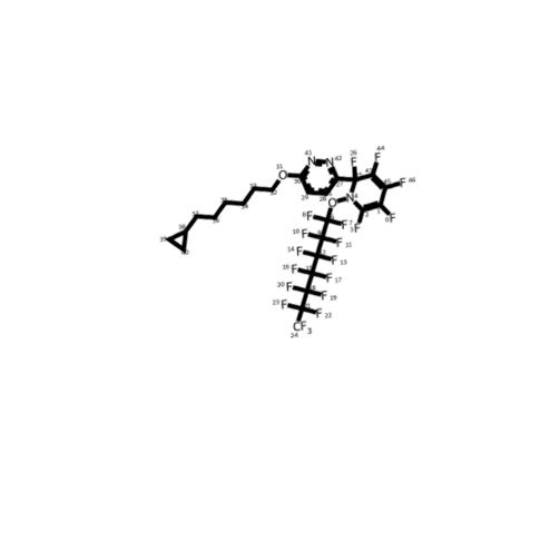 FC1=C(F)N(OC(F)(F)C(F)(F)C(F)(F)C(F)(F)C(F)(F)C(F)(F)C(F)(F)F)C(F)(c2ccc(OCCCCCCC3CC3)nn2)C(F)=C1F